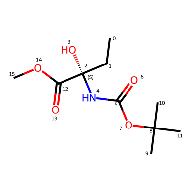 CC[C@@](O)(NC(=O)OC(C)(C)C)C(=O)OC